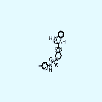 Cc1ccc(NC(=O)[13C](=O)N2CCc3nc(C(=O)Nc4ccccc4N)sc3C2)nc1